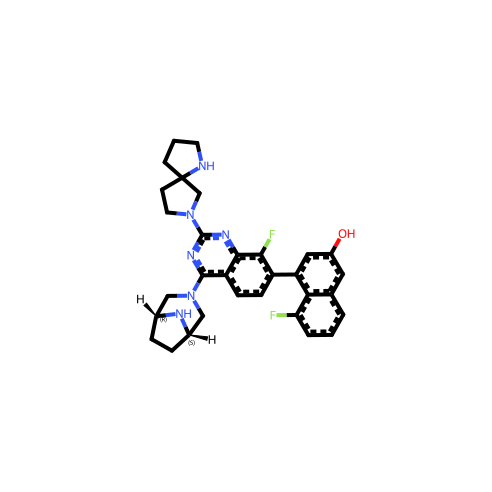 Oc1cc(-c2ccc3c(N4C[C@H]5CC[C@@H](C4)N5)nc(N4CCC5(CCCN5)C4)nc3c2F)c2c(F)cccc2c1